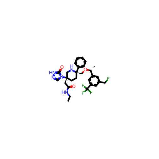 CCNC(=O)C[C@]1(n2cn[nH]c2=O)CC[C@@](CO[C@H](C)c2cc(CF)cc(C(F)(F)F)c2)(c2ccccc2)NC1